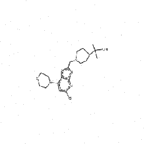 CC(C)(O)C1CCN(Cc2nc3nc(Cl)nc(N4CCOCC4)c3s2)CC1